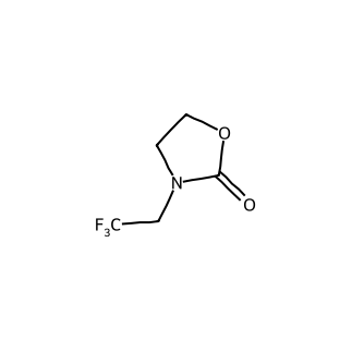 O=C1OCCN1CC(F)(F)F